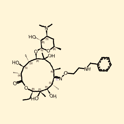 CC[C@H]1OC(=O)[C@H](C)[C@@H](O)[C@H](C)[C@@H](O[C@@H]2O[C@H](C)C[C@H](N(C)C)[C@H]2O)C(C)(O)C[C@@H](C)/C(=N\OCCNCc2ccccc2)[C@H](C)[C@@H](O)[C@]1(C)O